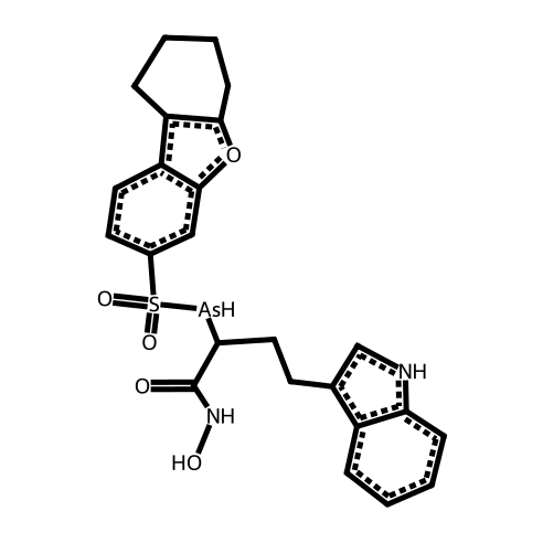 O=C(NO)C(CCc1c[nH]c2ccccc12)[AsH]S(=O)(=O)c1ccc2c3c(oc2c1)CCCC3